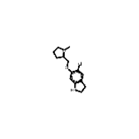 CN1CCCC1COc1cc2c(cc1Cl)CCN2